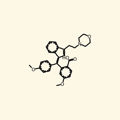 COc1ccc(/C(=C2/C=C(CCN3CCOCC3)c3ccccc32)c2cc(OC)ccc2C(=O)O)cc1